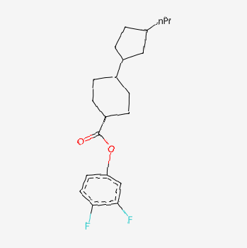 CCCC1CCC(C2CCC(C(=O)Oc3ccc(F)c(F)c3)CC2)C1